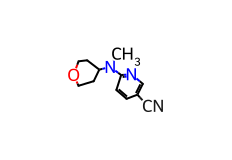 CN(c1ccc(C#N)cn1)C1CCOCC1